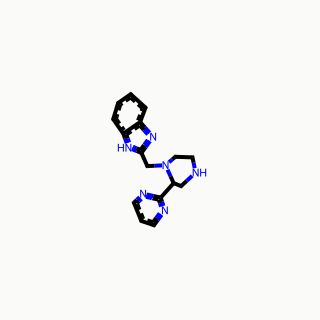 c1cnc(C2CNCCN2Cc2nc3ccccc3[nH]2)nc1